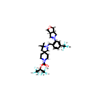 CC1(C)CC2(CCN(C(=O)OC(C(F)(F)F)C(F)(F)F)CC2)CN1Cc1ccc(C(F)(F)F)cc1N1CC2COCC2C1